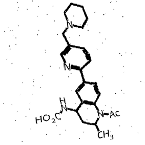 CC(=O)N1c2ccc(-c3ccc(CN4CCCCC4)cn3)cc2C(NC(=O)O)CC1C